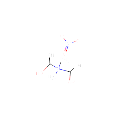 CC(O)[N+](C)(C)C(C)O.O=[N+]([O-])[O-]